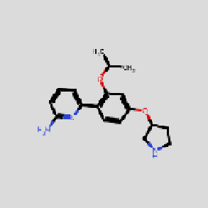 CC(C)Oc1cc(OC2CCNC2)ccc1-c1cccc(N)n1